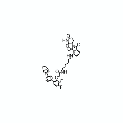 O=C(COc1c(-c2csc(N3CC4CCC(C3)O4)n2)ccc(F)c1F)NCCCCCCNc1cccc2c1C(=O)N(C1CCC(=O)NC1=O)C2=O